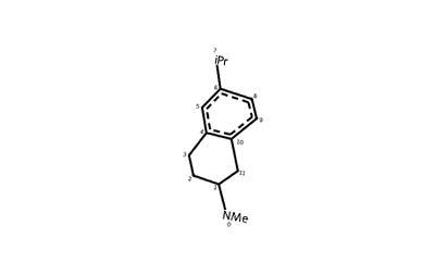 CNC1CCc2cc(C(C)C)ccc2C1